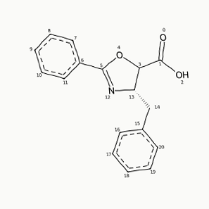 O=C(O)C1OC(c2ccccc2)=N[C@H]1Cc1ccccc1